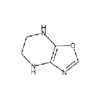 c1nc2c(o1)NCCN2